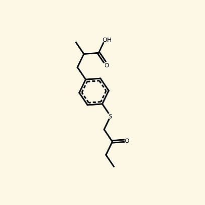 CCC(=O)CSc1ccc(CC(C)C(=O)O)cc1